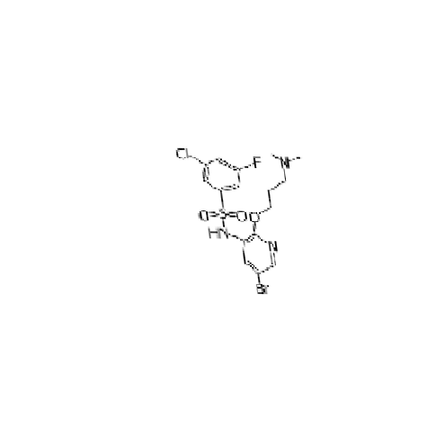 CN(C)CCCOc1ncc(Br)cc1NS(=O)(=O)c1cc(F)cc(Cl)c1